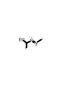 CCC(C)N=NC